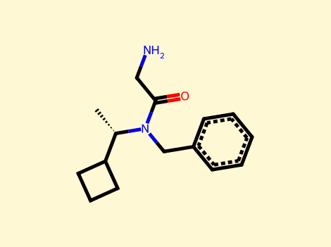 C[C@@H](C1CCC1)N(Cc1ccccc1)C(=O)CN